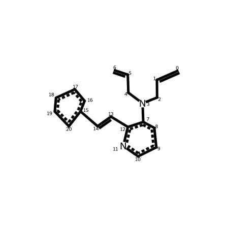 C=CCN(CC=C)c1cccnc1C=Cc1ccccc1